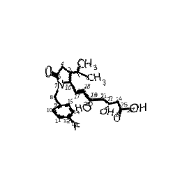 CC(C)C1CC(=O)N(Cc2ccc(F)cc2)C1C=C[C@@H](O)C[C@@H](O)CC(=O)O